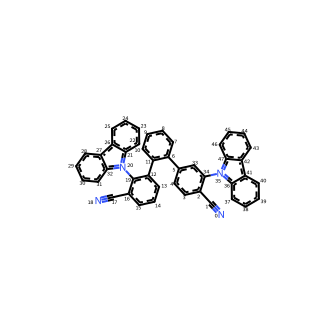 N#Cc1ccc(-c2ccccc2-c2cccc(C#N)c2-n2c3ccccc3c3ccccc32)cc1-n1c2ccccc2c2ccccc21